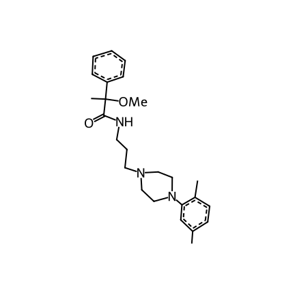 COC(C)(C(=O)NCCCN1CCN(c2cc(C)ccc2C)CC1)c1ccccc1